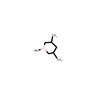 CCCCB1CC(C)CC(C)C1